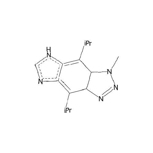 CC(C)C1=c2nc[nH]c2=C(C(C)C)C2C1N=NN2C